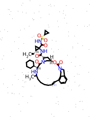 C=C[C@@H]1C[C@]1(NC(=O)[C@@H]1C[C@@H]2CN1C(=O)[C@H](C1CCCCC1)NC(C)CCCC/C=C/c1cccc3c1CN(C3)C(=O)O2)C(=O)NS(=O)(=O)C1CC1